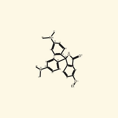 CCOc1ccc2c(c1)C(=O)OC2(c1ccc(N(C)C)cc1)c1ccc(N(C)C)cc1